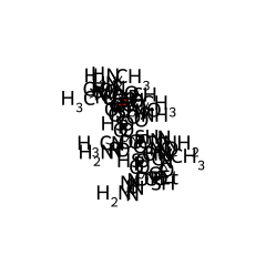 CC[C@H]1O[C@@H](n2cc(C)c(=O)[nH]c2=O)CC1OP(=O)(S)OC[C@H]1O[C@@H](n2cnc3c(N)ncnc32)CC1OP(=O)(S)OC[C@H]1O[C@@H](n2cnc3c(N)ncnc32)CC1OP(=O)(S)OC[C@H]1O[C@@H](n2cc(C)c(N)nc2=O)CC1OP(=O)(S)OC[C@H]1O[C@@H](n2cc(C)c(=O)[nH]c2=O)CC1OP(=O)(S)OC[C@H]1O[C@@H](n2cc(C)c(=O)[nH]c2=O)CC1OP(=O)(S)OC[C@H]1O[C@@H](N2C=C(C)C(N)NC2=O)CC1OP(=O)(S)OC